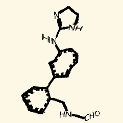 O=CNCc1[c]cccc1-c1cccc(NC2=NCCN2)c1